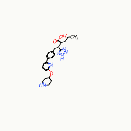 CCC[C@H](C(=O)O)[C@H](Cc1ccc(-c2cccc(OC3CCNCC3)n2)cc1)c1nn[nH]n1